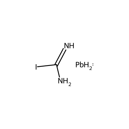 N=C(N)I.[PbH2]